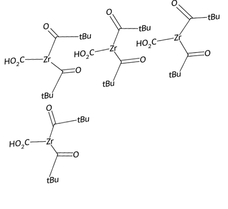 CC(C)(C)[C](=O)[Zr]([C](=O)O)[C](=O)C(C)(C)C.CC(C)(C)[C](=O)[Zr]([C](=O)O)[C](=O)C(C)(C)C.CC(C)(C)[C](=O)[Zr]([C](=O)O)[C](=O)C(C)(C)C.CC(C)(C)[C](=O)[Zr]([C](=O)O)[C](=O)C(C)(C)C